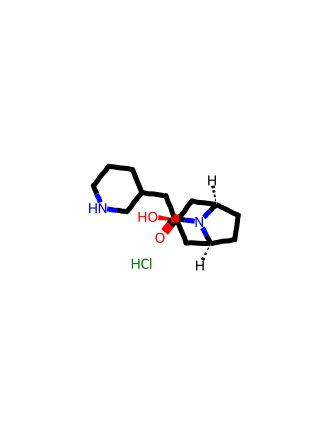 Cl.O=C(CC1CCCNC1)N1[C@@H]2CC[C@H]1C[C@@H](O)C2